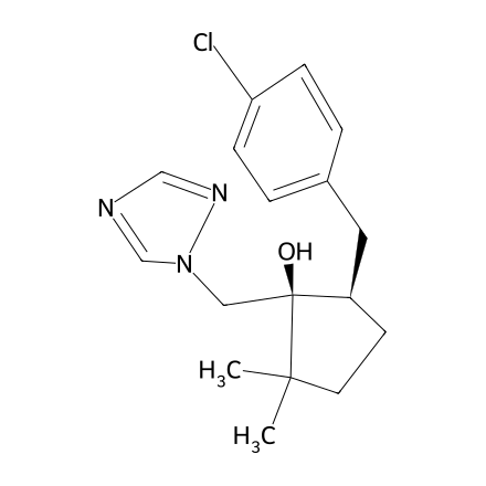 CC1(C)CC[C@H](Cc2ccc(Cl)cc2)[C@@]1(O)Cn1cncn1